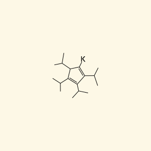 CC(C)C1=[C]([K])C(C(C)C)C(C(C)C)=C1C(C)C